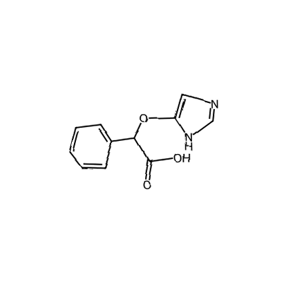 O=C(O)C(Oc1cnc[nH]1)c1ccccc1